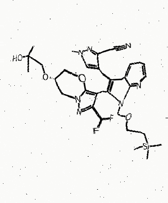 Cn1cc(-c2c(-c3c(C(F)F)nn4c3OC[C@@H](OCC(C)(C)O)C4)n(COCC[Si](C)(C)C)c3ncccc23)c(C#N)n1